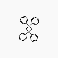 c1ccc([Si]2(c3ccccc3)C[Si](c3ccccc3)(c3ccccc3)C2)cc1